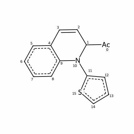 CC(=O)C1C=Cc2ccccc2N1c1cccs1